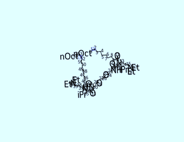 CCCCCCCC/C=C\CCCCCCCC(=O)N(CCCN(CC)CC)C(C(=O)NCCOCCOCCNC(=O)C(C(C)C)N(CCCN(CC)CC)C(=O)CCCCCCC/C=C\CCCCCCCC)C(C)C